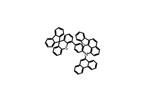 c1ccc2c(c1)Sc1c(-c3ccc(N(c4cc5ccccc5c5ccccc45)c4cccc5ccc6c7ccccc7oc6c45)cc3)cccc1C21c2ccccc2-c2ccccc21